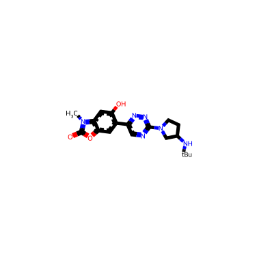 Cn1c(=O)oc2cc(-c3cnc(N4CCC(NC(C)(C)C)C4)nn3)c(O)cc21